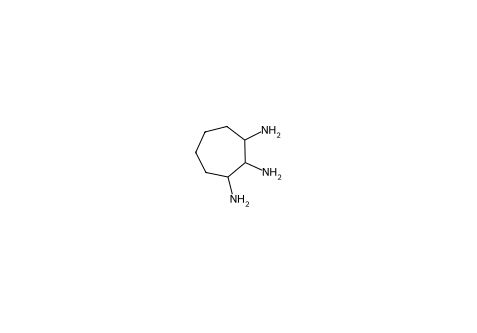 NC1CCCCC(N)C1N